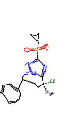 [2H]C1(Cl)CC(c2ccccc2)n2nc(S(=O)(=O)C3CC3)nc21